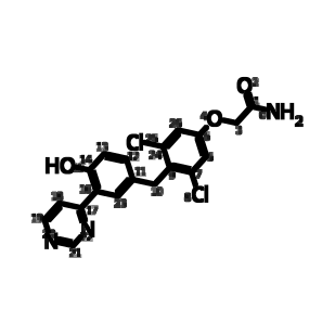 NC(=O)COc1cc(Cl)c(Cc2ccc(O)c(-c3ccncn3)c2)c(Cl)c1